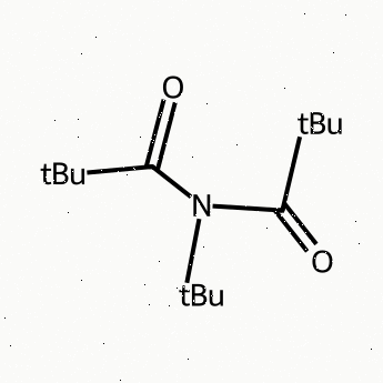 CC(C)(C)C(=O)N(C(=O)C(C)(C)C)C(C)(C)C